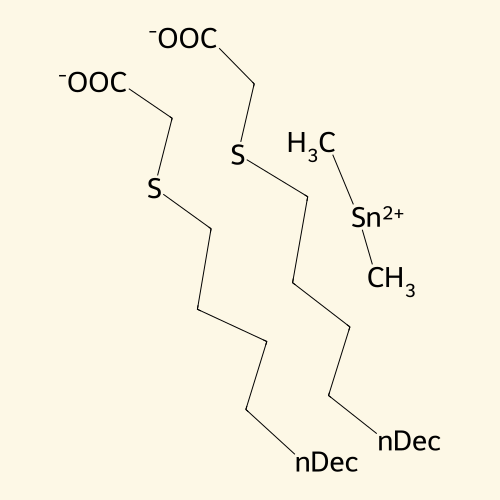 CCCCCCCCCCCCCCSCC(=O)[O-].CCCCCCCCCCCCCCSCC(=O)[O-].[CH3][Sn+2][CH3]